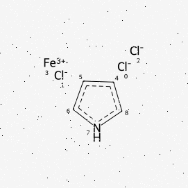 [Cl-].[Cl-].[Cl-].[Fe+3].c1cc[nH]c1